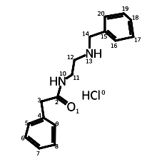 Cl.O=C(Cc1ccccc1)NCCNCc1ccccc1